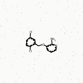 Nc1ncccc1OCc1cc(Cl)ccc1Cl